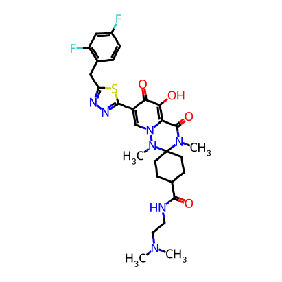 CN(C)CCNC(=O)C1CCC2(CC1)N(C)C(=O)c1c(O)c(=O)c(-c3nnc(Cc4ccc(F)cc4F)s3)cn1N2C